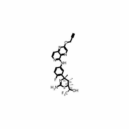 C#CCOc1cnc2c(Nc3ccc(F)c([C@@]4(C)N=C(N)S[C@](C)([C@@H](O)C(F)(F)F)[C@H]4C)c3)nccc2n1